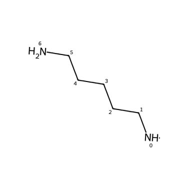 [NH]CCCCCN